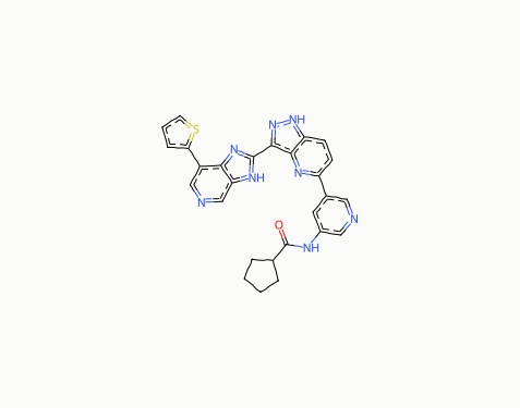 O=C(Nc1cncc(-c2ccc3[nH]nc(-c4nc5c(-c6cccs6)cncc5[nH]4)c3n2)c1)C1CCCC1